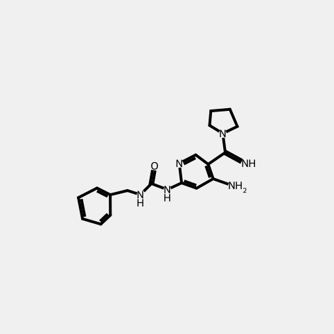 N=C(c1cnc(NC(=O)NCc2ccccc2)cc1N)N1CCCC1